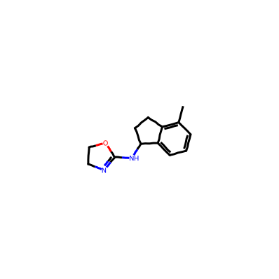 Cc1cccc2c1CCC2NC1=NCCO1